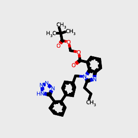 CCCc1nc2cccc(C(=O)OCOC(=O)C(C)(C)C)c2n1Cc1ccc(-c2ccccc2-c2nnn[nH]2)cc1